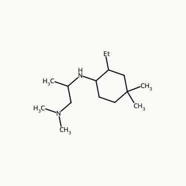 CCC1CC(C)(C)CCC1NC(C)CN(C)C